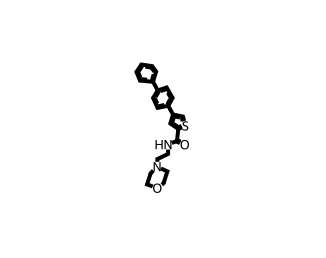 O=C(NCCN1CCOCC1)c1cc(-c2ccc(-c3ccccc3)cc2)cs1